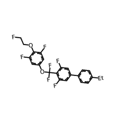 CCc1ccc(-c2cc(F)c(C(F)(F)Oc3cc(F)c(OCCF)c(F)c3)c(F)c2)cc1